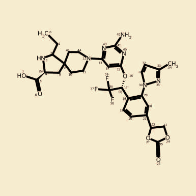 CCC1N[C@H](C(=O)O)CC12CCN(c1cc(O[C@H](c3ccc(C4COC(=O)O4)cc3-n3ccc(C)n3)C(F)(F)F)nc(N)n1)CC2